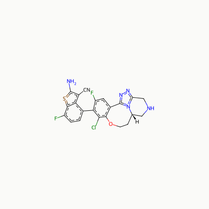 N#Cc1c(N)sc2c(F)ccc(-c3c(F)cc4c(c3Cl)OCC[C@H]3CNCc5nnc-4n53)c12